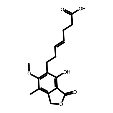 COc1c(C)c2c(c(O)c1CC/C=C/CCC(=O)O)C(=O)OC2